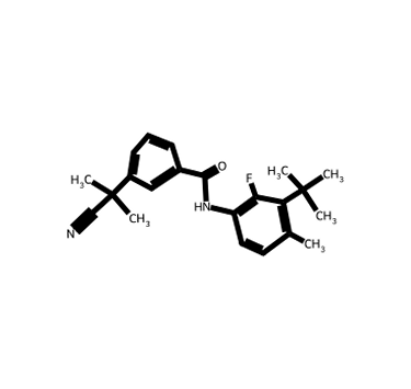 Cc1ccc(NC(=O)c2cccc(C(C)(C)C#N)c2)c(F)c1C(C)(C)C